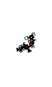 CC(c1cc(Cl)cc(Cl)c1)N1C[C@@H]2C[C@H]1CN2Cc1cc(F)c(C(=O)NS(=O)(=O)C2CC2)cc1C1CC1